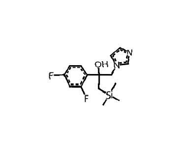 C[Si](C)(C)CC(O)(Cn1ccnc1)c1ccc(F)cc1F